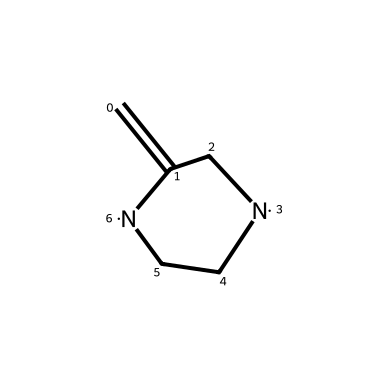 C=C1C[N]CC[N]1